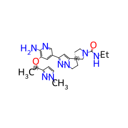 CCNC(=O)N1CC[C@@]2(CCn3nc(-c4cnc(N)c(O[C@H](C)c5ccn(C)n5)c4)cc32)C1